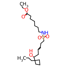 CCCC1(C(O)CC=CCCS(=O)(=O)NCCCCCCC(=O)OCC)CCC1